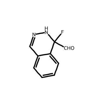 O=CC1(F)NN=Cc2ccccc21